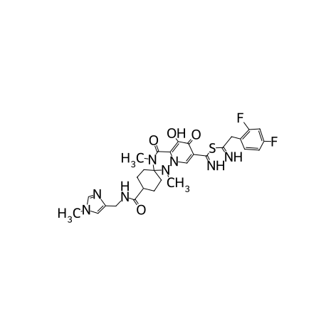 CN1C(=O)c2c(O)c(=O)c(C(=N)SC(=N)Cc3ccc(F)cc3F)cn2N(C)C12CCC(C(=O)NCc1cn(C)cn1)CC2